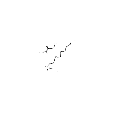 CCCCCCCCCCCCCCCCCC[N+](C)(C)C.CCCCCCCCOC(=O)C(C#N)C=O